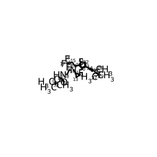 CC(C)(C)OC(=O)NCCN(C1CC1)C(CC(F)(F)F)c1scc(C#C[Si](C)(C)C)c1F